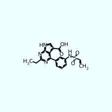 C=CS(=O)(=O)Nc1cccc(-c2nc(CC)nc3[nH]cc(C(=O)O)c23)c1